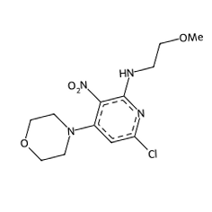 COCCNc1nc(Cl)cc(N2CCOCC2)c1[N+](=O)[O-]